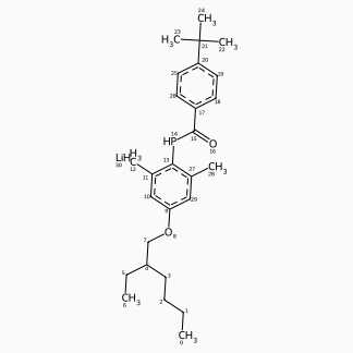 CCCCC(CC)COc1cc(C)c(PC(=O)c2ccc(C(C)(C)C)cc2)c(C)c1.[LiH]